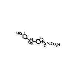 Cc1cc(-c2nc(-c3ccc4c(c3)CCN4C(=O)CCC(=O)O)no2)ccc1O